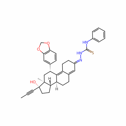 CC#C[C@]1(O)CC[C@H]2[C@@H]3CCC4=C/C(=N/NC(=S)Nc5ccccc5)CCC4=C3[C@@H](c3ccc4c(c3)OCO4)C[C@@]21C